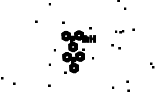 Br.c1ccc(P(c2ccccc2)c2ccccc2)cc1.c1ccc(P(c2ccccc2)c2ccccc2)cc1